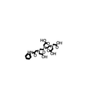 O=C(O)CN(CCN(CC(=O)O)CC(=O)O)CCN(CC(=O)O)CC(=O)Nc1ccccc1